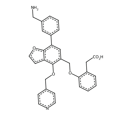 NCc1cccc(-c2cc(COc3ccccc3CC(=O)O)c(OCc3ccncc3)c3ccoc23)c1